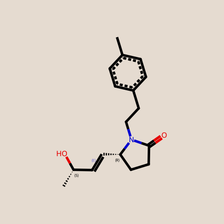 Cc1ccc(CCN2C(=O)CC[C@@H]2/C=C/[C@H](C)O)cc1